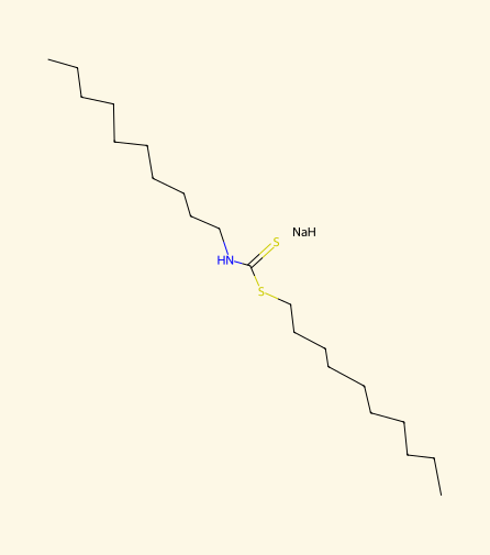 CCCCCCCCCCNC(=S)SCCCCCCCCCC.[NaH]